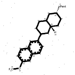 CCCCC[C@@H]1CC[C@@H]2CC(c3ccc4cc(OC(F)(F)F)ccc4c3)CCC2C1